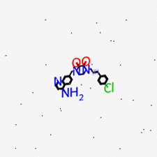 Nc1ccnc2cc(CN3CCN(C/C=C/c4ccc(Cl)cc4)C(=O)C3=O)ccc12